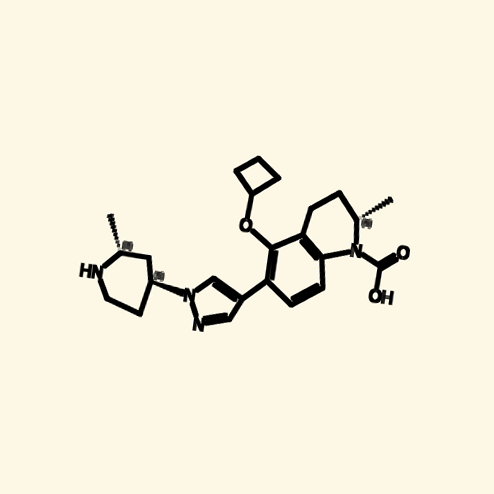 C[C@@H]1C[C@@H](n2cc(-c3ccc4c(c3OC3CCC3)CC[C@H](C)N4C(=O)O)cn2)CCN1